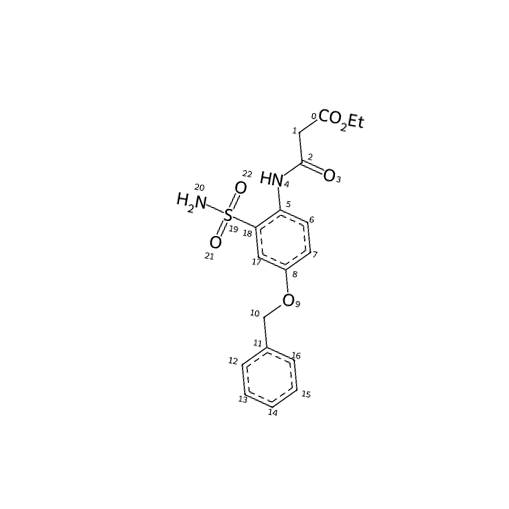 CCOC(=O)CC(=O)Nc1ccc(OCc2ccccc2)cc1S(N)(=O)=O